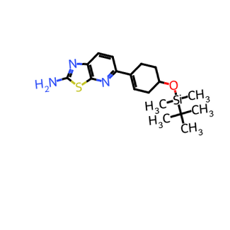 CC(C)(C)[Si](C)(C)OC1CC=C(c2ccc3nc(N)sc3n2)CC1